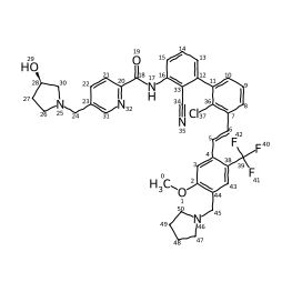 COc1cc(/C=C/c2cccc(-c3cccc(NC(=O)c4ccc(CN5CC[C@@H](O)C5)cn4)c3C#N)c2Cl)c(C(F)(F)F)cc1CN1CCCC1